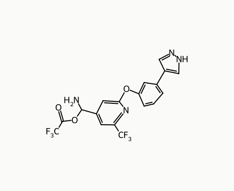 NC(OC(=O)C(F)(F)F)c1cc(Oc2cccc(-c3cn[nH]c3)c2)nc(C(F)(F)F)c1